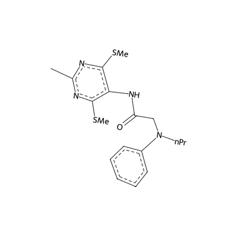 CCCN(CC(=O)Nc1c(SC)nc(C)nc1SC)c1ccccc1